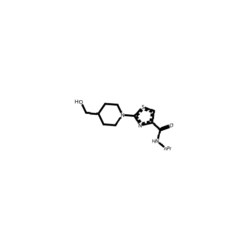 CCCNC(=O)c1csc(N2CCC(CO)CC2)n1